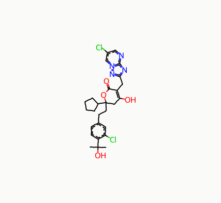 CC(C)(O)c1ccc(CCC2(C3CCCC3)CC(O)=C(Cc3nc4ncc(Cl)cn4n3)C(=O)O2)cc1Cl